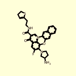 NC1CCN(c2c(F)cc3c(=O)c(C(=O)NCCC4=CCCS4)cn4c3c2Oc2cc3ccccc3cc2-4)C1